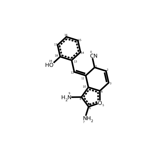 N#CC1C=Cc2oc(N)c(N)c2C1=Cc1ccccc1O